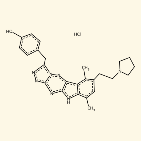 Cc1cc(CCN2CCCC2)c(C)c2c1[nH]c1nc3nnc(Cc4ccc(O)cc4)n3nc12.Cl